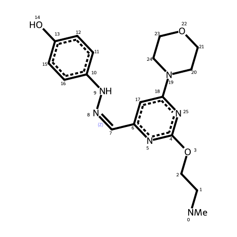 CNCCOc1nc(/C=N\Nc2ccc(O)cc2)cc(N2CCOCC2)n1